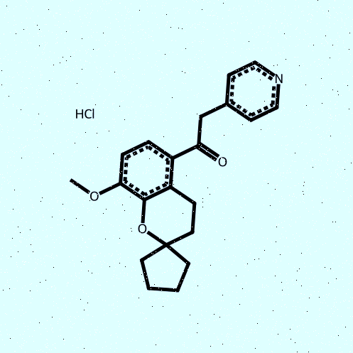 COc1ccc(C(=O)Cc2ccncc2)c2c1OC1(CCCC1)CC2.Cl